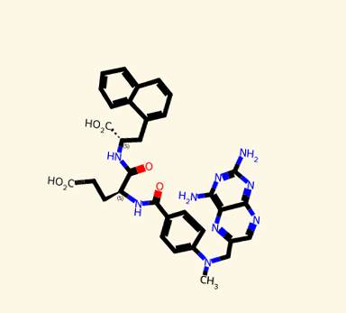 CN(Cc1cnc2nc(N)nc(N)c2n1)c1ccc(C(=O)N[C@@H](CCC(=O)O)C(=O)N[C@@H](Cc2cccc3ccccc23)C(=O)O)cc1